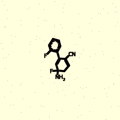 N#CC1=CCC(N)(F)C=C1c1ccccc1F